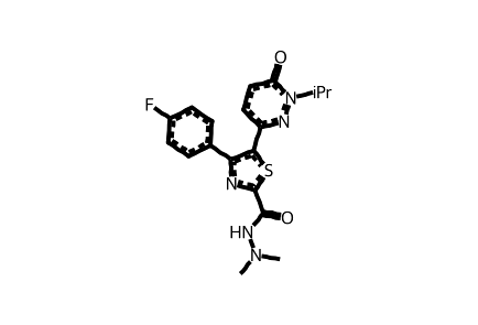 CC(C)n1nc(-c2sc(C(=O)NN(C)C)nc2-c2ccc(F)cc2)ccc1=O